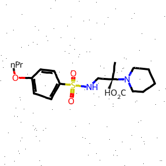 CCCOc1ccc(S(=O)(=O)NC[C@@](C)(C(=O)O)N2CCCCC2)cc1